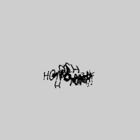 COc1cc(/C(N)=N/N(N)Cc2ccc(F)cn2)ccc1[S+]([O-])NCCO